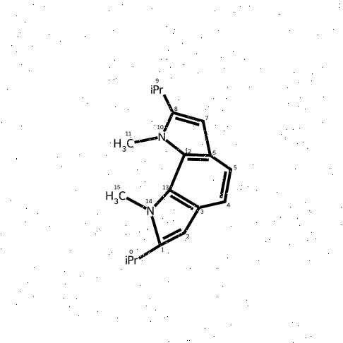 CC(C)c1cc2ccc3cc(C(C)C)n(C)c3c2n1C